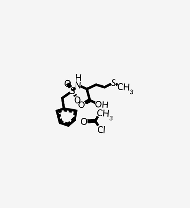 CC(=O)Cl.CSCCC(NS(=O)(=O)Cc1ccccc1)C(=O)O